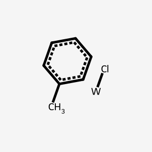 Cc1ccccc1.[Cl][W]